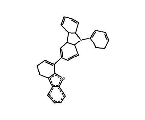 C1=CCCC(N2C3C=CC=CC3C3C=C(C4=CCCc5c4oc4ccccc54)C=CC32)=C1